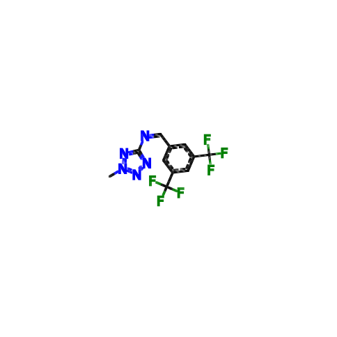 Cn1nnc(/N=C\c2cc(C(F)(F)F)cc(C(F)(F)F)c2)n1